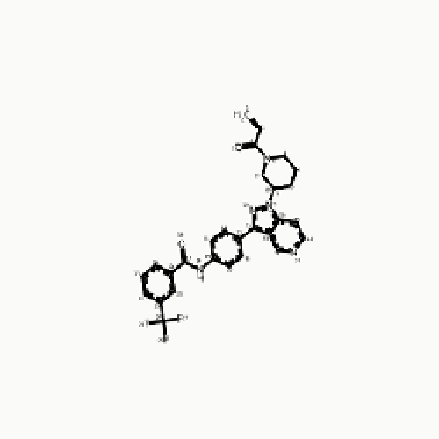 C=CC(=O)N1CCC[C@@H](n2nc(-c3ccc(NC(=O)c4cccc(C(F)(F)F)c4)cc3)c3cnccc32)C1